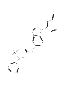 C=C/C=C(\C=C/C)n1ncc2cc(NC(=O)N[C@@H](c3ccccc3)C(C)(C)O)ncc21